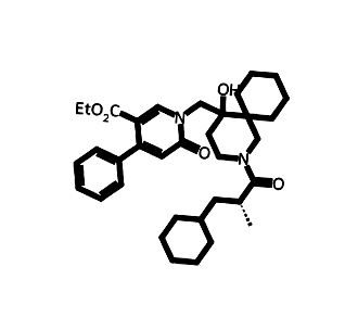 CCOC(=O)c1cn(CC2(O)CCN(C(=O)[C@H](C)CC3CCCCC3)CC23CCCCC3)c(=O)cc1-c1ccccc1